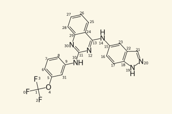 FC(F)(F)Oc1cccc(Nc2nc(Nc3ccc4[nH]ncc4c3)c3ccccc3n2)c1